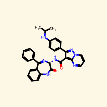 CC(C)Nc1ccc(-c2nn3cccnc3c2C(=O)N[C@H]2N=C(c3ccccc3)c3ccccc3NC2=O)cc1